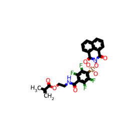 C=C(C)C(=O)OCCNC(=O)c1c(F)c(F)c(S(=O)(=O)ON2C(=O)c3cccc4cccc(c34)C2=O)c(F)c1F